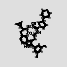 CCN(C(=O)O)C(Cc1ccc2[nH]c(-c3cc(C)cc(C)c3)c(CCNC(=NC#N)N3CCC(c4ccncc4)C3)c2c1)C1CC1